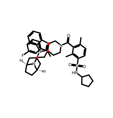 Cc1ccc(S(=O)(=O)NC2CCCC2)c(C)c1C(=O)N1CCC(CCN2[C@@H]3CC[C@H]2C[C@@H](n2c(C)nc4ccccc42)C3)(c2cccc(F)c2)CC1